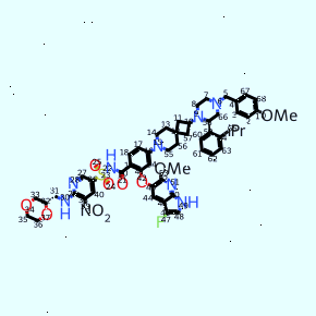 COc1ccc(CN2CCN(C3CC4(CCN(c5ccc(C(=O)NS(=O)(=O)c6cnc(NC[C@H]7COCCO7)c([N+](=O)[O-])c6)c(Oc6cc7c(F)c[nH]c7nc6OC)c5)CC4)C3)[C@H](c3ccccc3C(C)C)C2)cc1